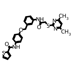 Cc1cc(C)nc(SCC(=O)Nc2cccc(COc3ccc(NC(=O)c4cccs4)cc3)c2)n1